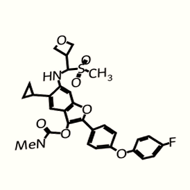 CNC(=O)Oc1c(-c2ccc(Oc3ccc(F)cc3)cc2)oc2cc(NC(C3COC3)S(C)(=O)=O)c(C3CC3)cc12